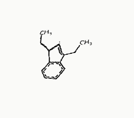 CCC1=[C]C(CC)c2ccccc21